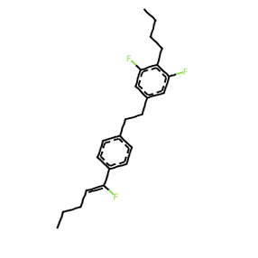 CCCC=C(F)c1ccc(CCc2cc(F)c(CCCC)c(F)c2)cc1